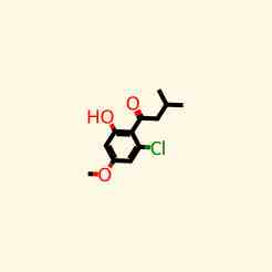 COc1cc(O)c(C(=O)CC(C)C)c(Cl)c1